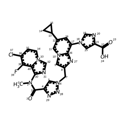 CN(C(=O)c1cn(Cc2cn3cc(C4CC4)cc(-n4cnc(C(=O)O)c4)c3n2)nn1)c1ncn2ccc(Cl)c(F)c12